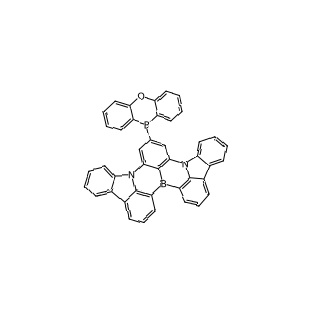 c1ccc2c(c1)Oc1ccccc1B2c1cc2c3c(c1)-n1c4ccccc4c4cccc(c41)B3c1cccc3c4ccccc4n-2c13